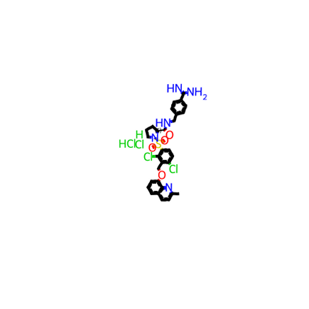 Cc1ccc2cccc(OCc3c(Cl)ccc(S(=O)(=O)N4CCC[C@H]4C(=O)NCc4ccc(C(=N)N)cc4)c3Cl)c2n1.Cl.Cl